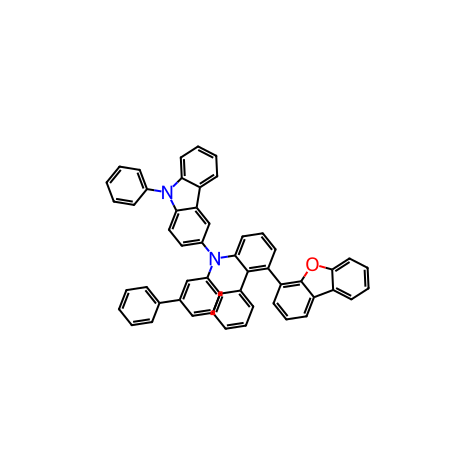 c1ccc(-c2cccc(N(c3ccc4c(c3)c3ccccc3n4-c3ccccc3)c3cccc(-c4cccc5c4oc4ccccc45)c3-c3ccccc3)c2)cc1